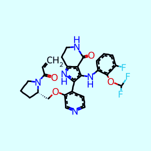 C=CC(=O)N1CCC[C@H]1COc1cnccc1-c1[nH]c2c(c1Nc1cccc(F)c1OC(F)F)C(=O)NCC2